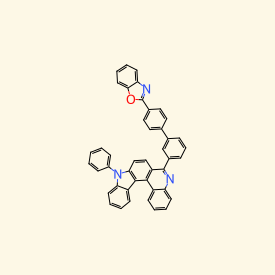 c1ccc(-n2c3ccccc3c3c4c(ccc32)c(-c2cccc(-c3ccc(-c5nc6ccccc6o5)cc3)c2)nc2ccccc24)cc1